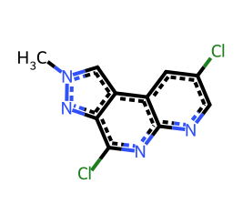 Cn1cc2c(n1)c(Cl)nc1ncc(Cl)cc12